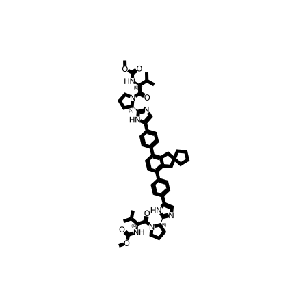 COC(=O)N[C@H](C(=O)N1CCC[C@H]1c1ncc(-c2ccc(-c3ccc(-c4ccc(-c5cnc([C@@H]6CCCN6C(=O)[C@@H](NC(=O)OC)C(C)C)[nH]5)cc4)c4c3CC3(CCCC3)C4)cc2)[nH]1)C(C)C